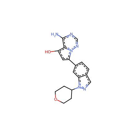 Nc1ncnn2c(-c3ccc4cnn(C5CCOCC5)c4c3)cc(O)c12